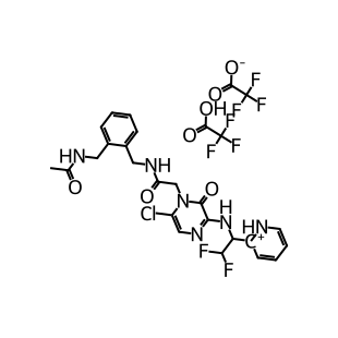 CC(=O)NCc1ccccc1CNC(=O)Cn1c(Cl)cnc(NC([c+]2cccc[nH]2)C(F)F)c1=O.O=C(O)C(F)(F)F.O=C([O-])C(F)(F)F